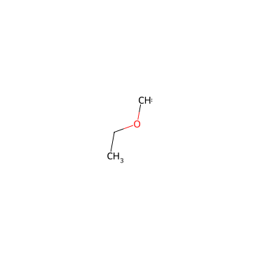 [CH]OCC